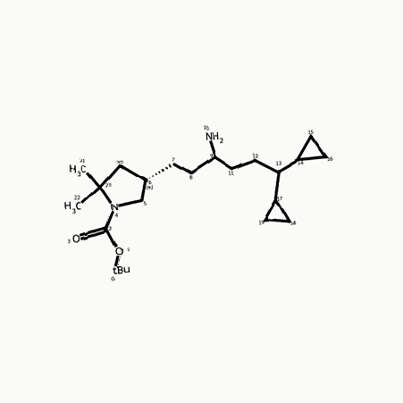 CC(C)(C)OC(=O)N1C[C@@H](CCC(N)CCC(C2CC2)C2CC2)CC1(C)C